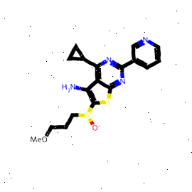 COCCC[S+]([O-])c1sc2nc(-c3cccnc3)nc(C3CC3)c2c1N